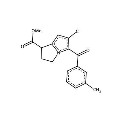 COC(=O)C1CCn2c1cc(Cl)c2C(=O)c1cccc(C)c1